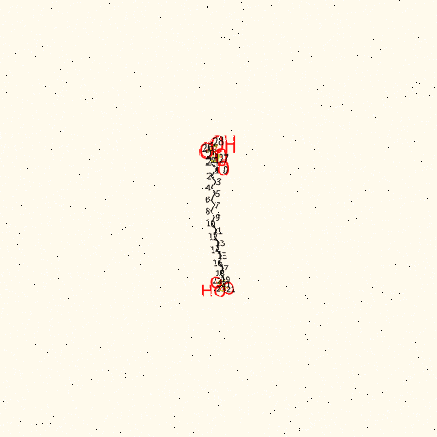 O=C(CCCCCCCCCCCCCCCCCCS(=O)(=O)O)CS(=O)(=O)O